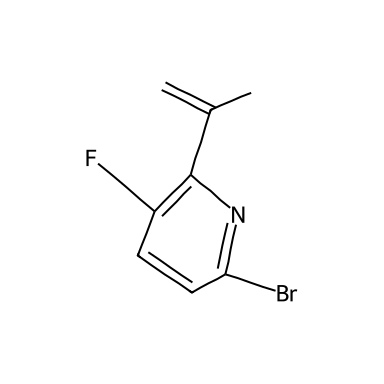 C=C(C)c1nc(Br)ccc1F